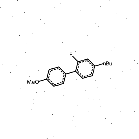 CCCCc1ccc(-c2ccc(OC)cc2)c(F)c1